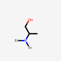 [CH2]C(CO)N(CC)CC